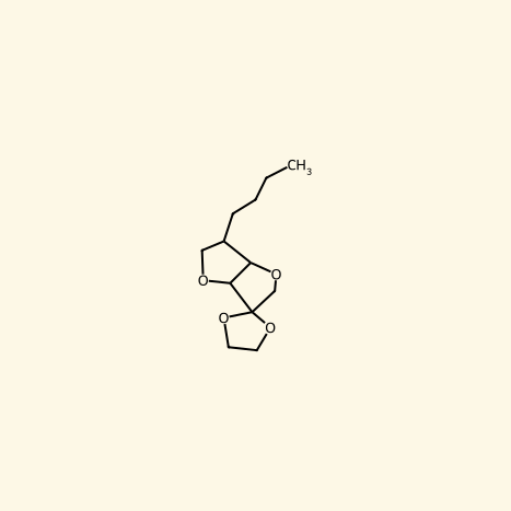 CCCCC1COC2C1OCC21OCCO1